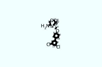 NC1=N[C@@H](CCOc2ccc(-c3cc(Cl)cc(Cl)c3)cc2)C(F)(F)COC1